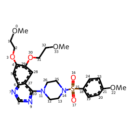 COCCOc1cc2ncnc(N3CCN(S(=O)(=O)c4ccc(OC)cc4)CC3)c2cc1OCCOC